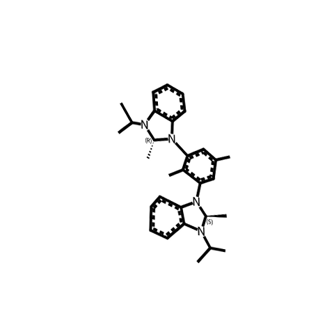 Cc1cc(N2c3ccccc3N(C(C)C)[C@@H]2C)c(C)c(N2c3ccccc3N(C(C)C)[C@H]2C)c1